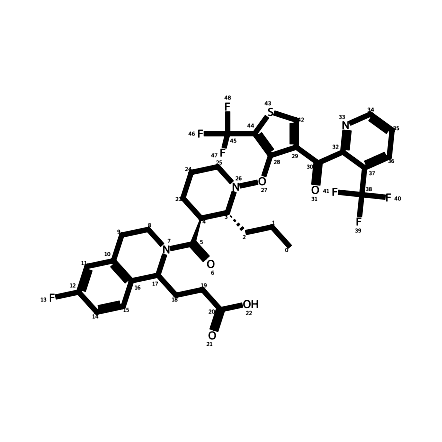 CCC[C@@H]1[C@@H](C(=O)N2CCc3cc(F)ccc3C2CCC(=O)O)CCCN1Oc1c(C(=O)c2ncccc2C(F)(F)F)csc1C(F)(F)F